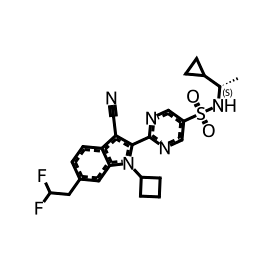 C[C@H](NS(=O)(=O)c1cnc(-c2c(C#N)c3ccc(CC(F)F)cc3n2C2CCC2)nc1)C1CC1